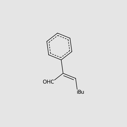 CCC(C)C=C(C=O)c1ccccc1